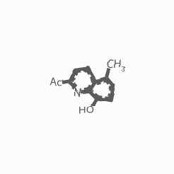 CC(=O)c1ccc2c(C)ccc(O)c2n1